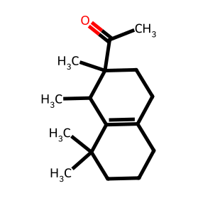 CC(=O)C1(C)CCC2=C(C1C)C(C)(C)CCC2